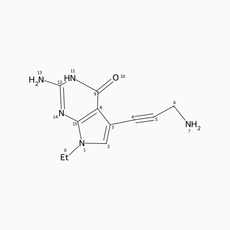 CCn1cc(C#CCN)c2c(=O)[nH]c(N)nc21